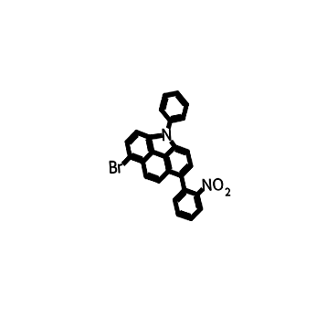 O=[N+]([O-])c1ccccc1-c1ccc2c3c1ccc1c(Br)ccc(c13)n2-c1ccccc1